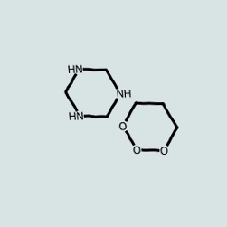 C1COOOC1.C1NCNCN1